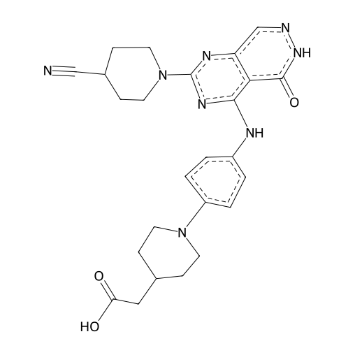 N#CC1CCN(c2nc(Nc3ccc(N4CCC(CC(=O)O)CC4)cc3)c3c(=O)[nH]ncc3n2)CC1